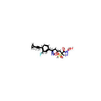 CC(CC1CC(c2ccc(C#CC3CC3)c(F)c2)=NO1)(C(=O)NO)S(C)(=O)=O